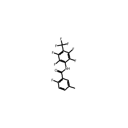 Cc1ccc(F)c(C(=O)Nc2c(F)c(F)c(C(F)(F)F)c(F)c2F)c1